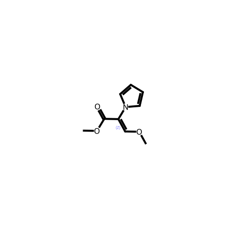 CO/C=C(/C(=O)OC)n1cccc1